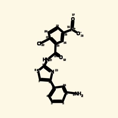 Nc1cccc(-c2csc(NC(=O)c3cc([N+](=O)[O-])ccc3Cl)n2)c1